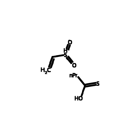 C=C[SH](=O)=O.CCCC(O)=S